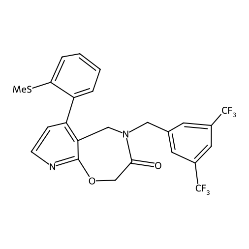 CSc1ccccc1-c1ccnc2c1CN(Cc1cc(C(F)(F)F)cc(C(F)(F)F)c1)C(=O)CO2